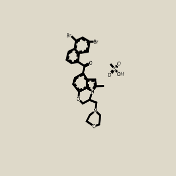 CS(=O)(=O)O.Cc1cc2c(C(=O)c3cccc4c(Br)cc(Br)cc34)ccc3c2n1C(CN1CCOCC1)CO3